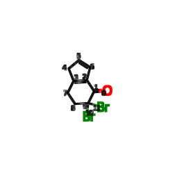 O=C1C2=C(CC=C2)CCC1(Br)Br